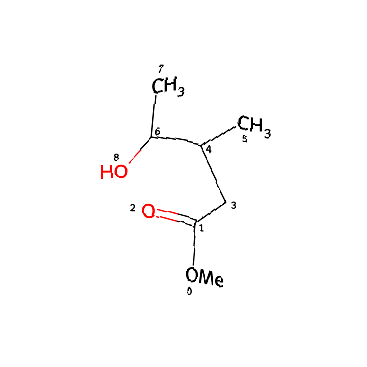 COC(=O)CC(C)C(C)O